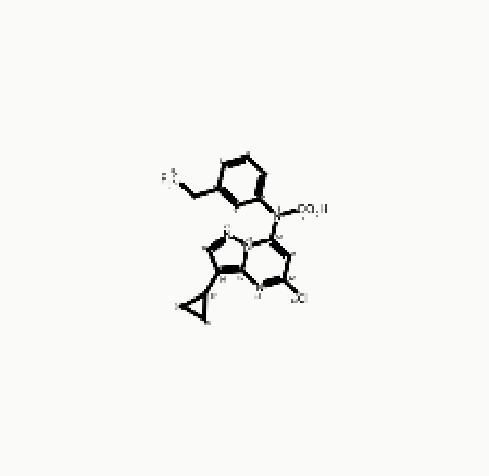 O=C(O)N(c1cccc(CC(F)(F)F)c1)c1cc(Cl)nc2c(C3CC3)cnn12